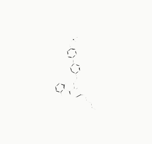 CCCCOC(=O)NC(CCc1ccc(-c2ccc(OC(F)(F)F)cc2)cc1)C(=O)c1c(F)cccc1F